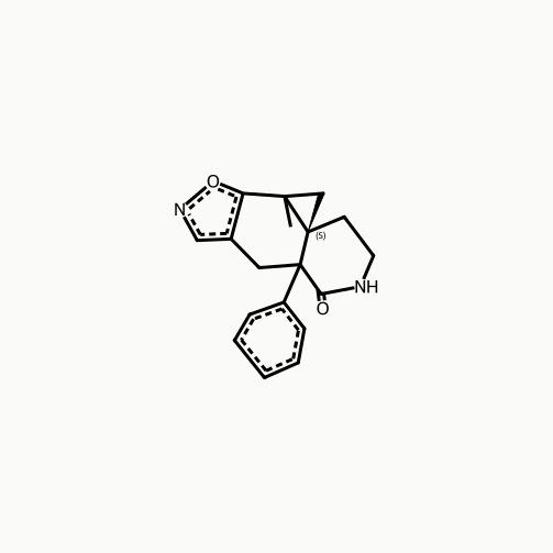 CC12C[C@]13CCNC(=O)C3(c1ccccc1)Cc1cnoc12